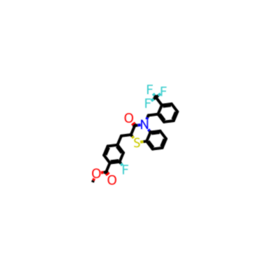 COC(=O)c1ccc(CC2Sc3ccccc3N(Cc3ccccc3C(F)(F)F)C2=O)cc1F